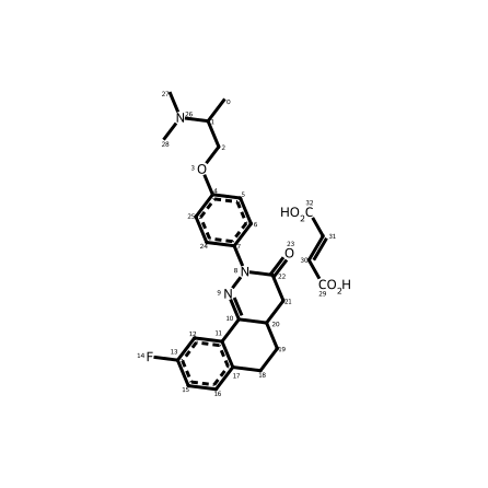 CC(COc1ccc(N2N=C3c4cc(F)ccc4CCC3CC2=O)cc1)N(C)C.O=C(O)C=CC(=O)O